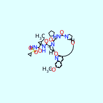 CCC1C[C@]1(NC(=O)[C@@H]1C[C@@H]2CN1C(=O)[C@H](C1CCCC1)NC(=O)N1CC[C@@H](C1)OCCCCCc1cc3ccc(OC)cc3nc1O2)C(=O)NS(=O)(=O)C1CC1